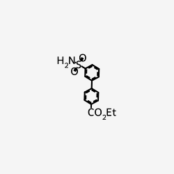 CCOC(=O)c1ccc(-c2cccc(S(N)(=O)=O)c2)cc1